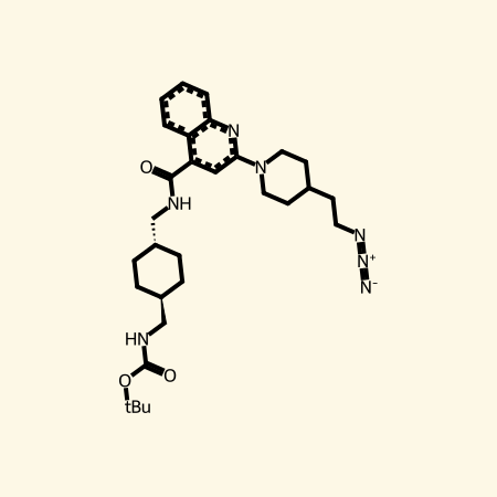 CC(C)(C)OC(=O)NC[C@H]1CC[C@H](CNC(=O)c2cc(N3CCC(CCN=[N+]=[N-])CC3)nc3ccccc23)CC1